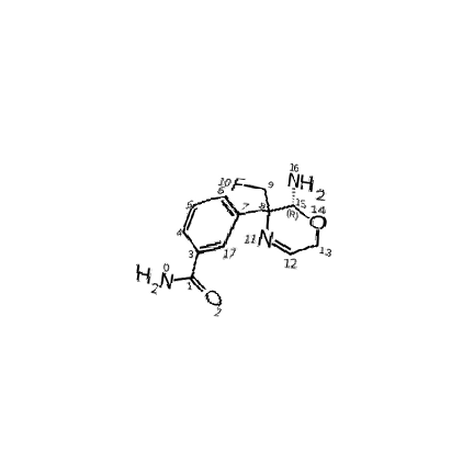 NC(=O)c1cccc(C2(CF)N=CCO[C@H]2N)c1